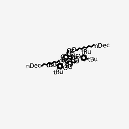 CCCCCCCCCCCCCCCCCCOP1OCC2(CO1)COP(OCCCCCCCCCCCCCCCCCC)OC2C1OP(Oc2ccc(C(C)(C)C)cc2C(C)(C)C)OCC12COP(Oc1ccc(C(C)(C)C)cc1C(C)(C)C)OC2